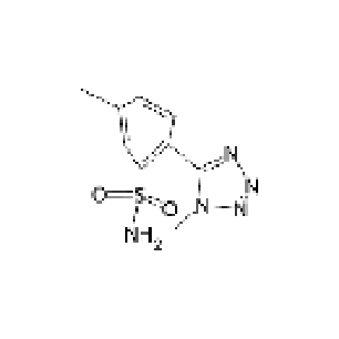 Cc1ccc(-c2nnnn2C)c(S(N)(=O)=O)c1